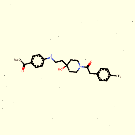 COC(=O)c1ccc(NCCC2(O)CCN(C(=O)Cc3ccc(C(F)(F)F)cc3)CC2)cc1